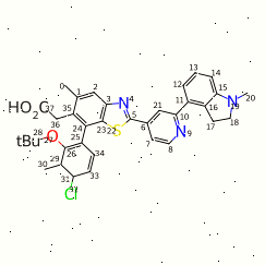 Cc1cc2nc(-c3ccnc(-c4cccc5c4CCN5C)c3)sc2c(C2=C(OC(C)(C)C)C(C)C(Cl)C=C2)c1CC(=O)O